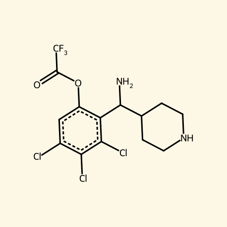 NC(c1c(OC(=O)C(F)(F)F)cc(Cl)c(Cl)c1Cl)C1CCNCC1